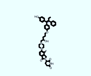 CC/C(=C(\c1ccc(O)cc1)c1ccc(OCCCC(O)CN2CCN(c3ccc4c(c3F)CN(C3CCC(=O)NC3=O)C4=O)CC2)cc1)c1ccccc1